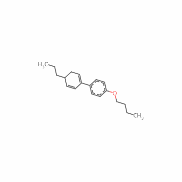 CCCCOc1ccc(C2=CCC(CCC)C=C2)cc1